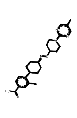 Cc1cnc(N2CCC(ON=C3CCC(c4ccc(C(N)=O)cc4C)CC3)CC2)nc1